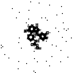 CC(C)(C)OC(=O)N[C@@H]1CCCN(c2c(Br)cnc3[nH]cc(Nc4ccc(F)c(Cl)c4)c23)C1